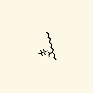 CCC=CCCCCC(CCC)C(=O)O[Si](C)(C)C(C)(C)C